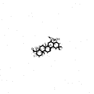 COC1C[C@]2(C)C(=CCC3C4(C)CC[C@H](C)[C@](C)(C=O)[C@@H]4CC[C@@]32C)C2CC(C)(C)CC[C@]12C(=O)O